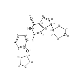 O=c1[nH]c(Cc2ccccc2OC2CCCC2)nc2c1cnn2C1CCOCC1